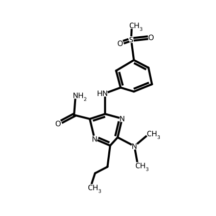 CCCc1nc(C(N)=O)c(Nc2cccc(S(C)(=O)=O)c2)nc1N(C)C